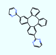 c1cnc(-c2ccc3c(c2)-c2ccccc2-c2ccccc2-c2cc(-c4ncccn4)ccc2-3)nc1